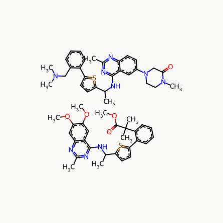 COC(=O)C(C)(C)c1ccccc1-c1ccc(C(C)Nc2nc(C)nc3cc(OC)c(OC)cc23)s1.Cc1nc(NC(C)c2ccc(-c3ccccc3CN(C)C)s2)c2cc(N3CCN(C)C(=O)C3)ccc2n1